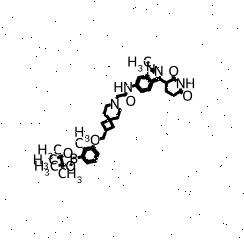 Cc1c(OCC2CC3(CCN(CC(=O)Nc4ccc5c(C6CCC(=O)NC6=O)nn(C)c5c4)CC3)C2)cccc1B1OC(C)(C)C(C)(C)O1